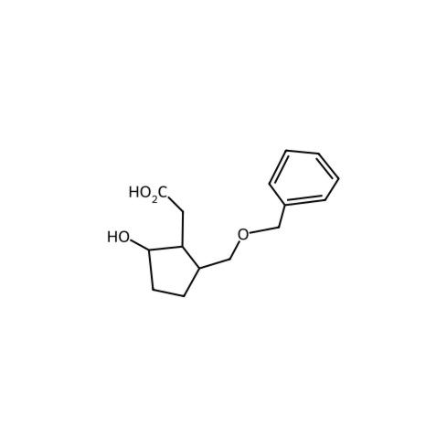 O=C(O)CC1C(O)CCC1COCc1ccccc1